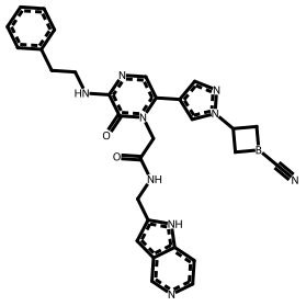 N#CB1CC(n2cc(-c3cnc(NCCc4ccccc4)c(=O)n3CC(=O)NCc3cc4cnccc4[nH]3)cn2)C1